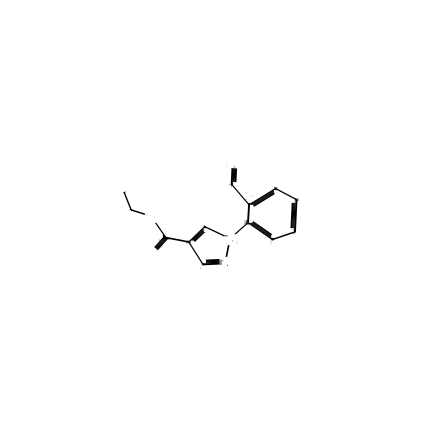 CCOC(=O)c1cnn(-c2ccccc2C=O)c1